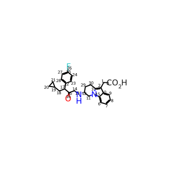 O=C(O)Cc1c2n(c3ccccc13)C[C@H](NCC(=O)C(CC1CC1)c1ccc(F)cc1)CC2